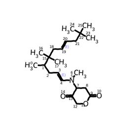 CC(C/C=C/N(C)C1CC(=O)OCC1=O)C(C)(C)C/C=C/CC(C)(C)C